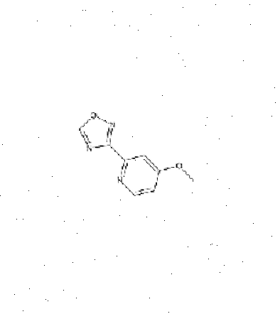 COc1ccnc(-c2ncon2)c1